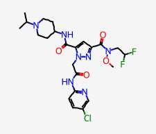 CON(CC(F)F)C(=O)c1cc(C(=O)NC2CCN(C(C)C)CC2)n(CC(=O)Nc2ccc(Cl)cn2)n1